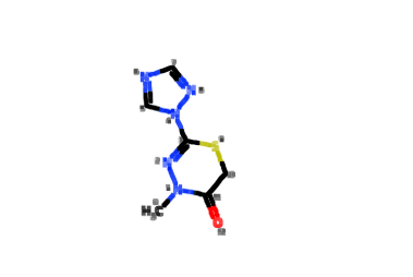 CN1N=C(n2cncn2)SCC1=O